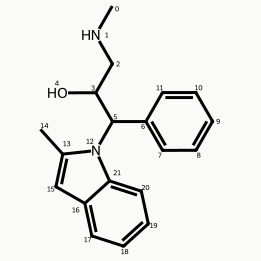 CNCC(O)C(c1ccccc1)n1c(C)cc2ccccc21